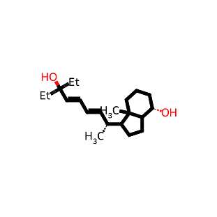 CCC(O)(/C=C/C=C/[C@@H](C)C1CCC2[C@@H](O)CCCC12C)CC